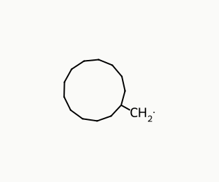 [CH2]C1CCCCCCCCCCCC1